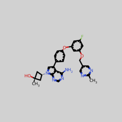 Cc1ncc(COc2cc(F)cc(Oc3ccc(-c4cn([C@H]5C[C@@](C)(O)C5)c5ncnc(N)c45)cc3)c2)cn1